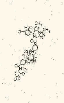 [2H]C1([2H])N(CC2CCN(C(=O)C[C@@H]3N=C(c4ccc(Cl)cc4)c4c(sc(C)c4C)-n4c(C)nnc43)CC2)C([2H])([2H])C([2H])([2H])N(c2ccc3c(c2)C(=O)N(C2CCC(=O)NC2=O)C3=O)C1([2H])[2H]